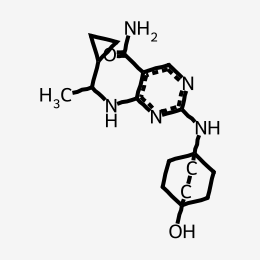 CC(Nc1nc(NC23CCC(O)(CC2)CC3)ncc1C(N)=O)C1CC1